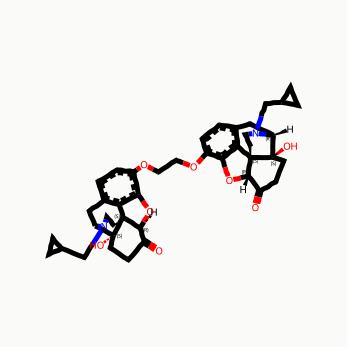 O=C1CC[C@@]2(O)C3Cc4ccc(OCCOc5ccc6c7c5O[C@H]5C(=O)CC[C@@]8(O)[C@@H](C6)N(CC6CC6)CC[C@]758)c5c4[C@@]2(CCN3CC2CC2)[C@H]1O5